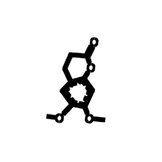 COc1cc2c(cc1OC)OC(=O)CC2